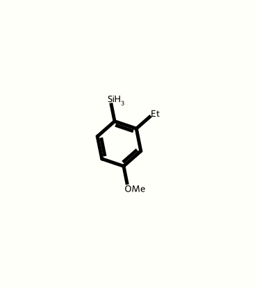 CCc1cc(OC)ccc1[SiH3]